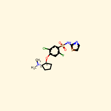 CN(C)[C@H]1CCC[C@@H]1Oc1cc(F)c(S(=O)(=O)Nc2nccs2)cc1Cl